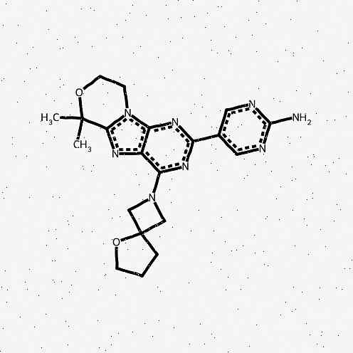 CC1(C)OCCn2c1nc1c(N3CC4(CCCO4)C3)nc(-c3cnc(N)nc3)nc12